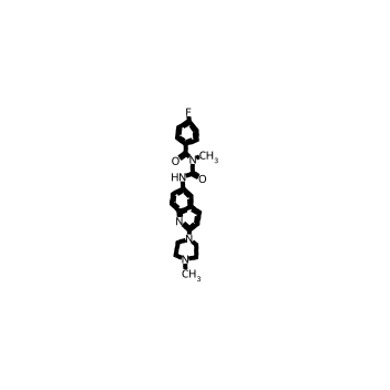 CN1CCN(c2ccc3cc(NC(=O)N(C)C(=O)c4ccc(F)cc4)ccc3n2)CC1